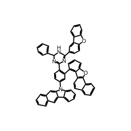 c1ccc(C2N=C(c3ccc(-n4c5ccccc5c5cc6ccccc6cc54)cc3-c3cccc4oc5c6ccccc6ccc5c34)N=C(c3ccc4oc5ccccc5c4c3)N2)cc1